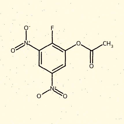 CC(=O)Oc1cc([N+](=O)[O-])cc([N+](=O)[O-])c1F